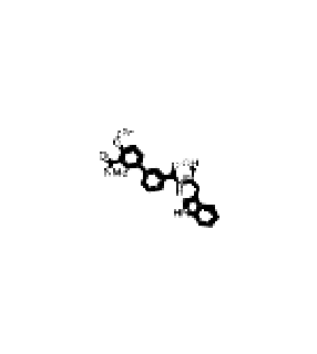 CCCOc1ccc(-c2cccc(C(=O)N[C@@H](CO)Cc3c[nH]c4ccccc34)c2)cc1C(=O)NC